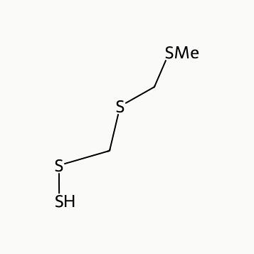 CSCSCSS